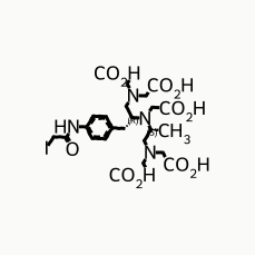 C[C@@H](CN(CC(=O)O)CC(=O)O)N(CC(=O)O)[C@H](Cc1ccc(NC(=O)CI)cc1)CN(CC(=O)O)CC(=O)O